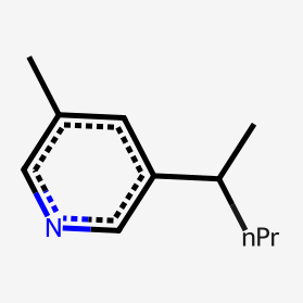 CCCC(C)c1cncc(C)c1